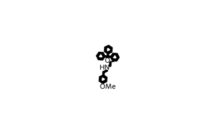 COc1ccc(CCNC[C@H](C)OC(c2ccccc2)(c2ccccc2)c2ccccc2)cc1